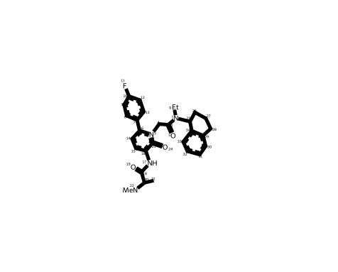 CCN(C(=O)Cn1c(-c2ccc(F)cc2)ccc(NC(=O)C(C)NC)c1=O)C1CCCc2ccccc21